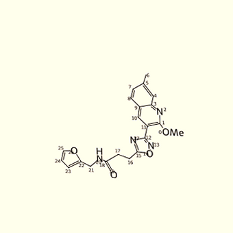 COc1nc2cc(C)ccc2cc1-c1noc(CCC(=O)NCc2ccco2)n1